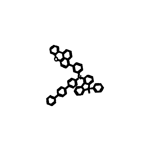 CC1(c2ccccc2)c2ccccc2-c2c(N(c3ccc(-c4ccc(-c5ccccc5)cc4)cc3)c3cccc(-c4ccc5c6c(cccc46)-c4ccccc4O5)c3)cccc21